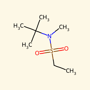 CCS(=O)(=O)N(C)C(C)(C)C